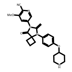 C=C1N(c2cnc(C#N)c(OC)c2)C(=O)C2(CCC2)N1c1ccc(OC2CCNCC2)cc1